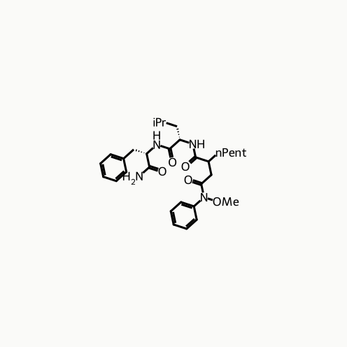 CCCCCC(CC(=O)N(OC)c1ccccc1)C(=O)N[C@@H](CC(C)C)C(=O)N[C@@H](Cc1ccccc1)C(N)=O